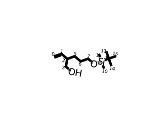 C=CC(CO)CCCO[Si](C)(C)C(C)(C)C